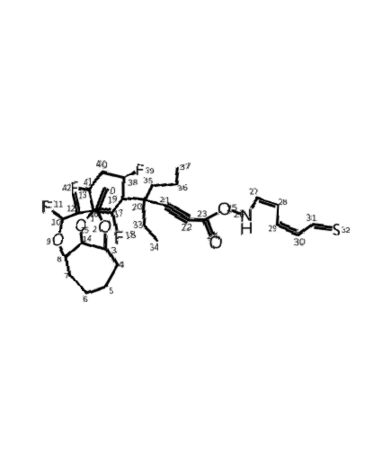 C=C1OC2CCCCC(OC(F)C1=C)C2OC1=C(F)C(C(C#CC(=O)ON/C=C\C=C/C=S)(CC)CCC)[C@H](F)CC1F